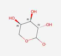 [O]C1OC[C@@H](O)[C@@H](O)[C@@H]1O